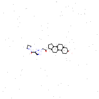 C[C@@]1(O)CC[C@@]2(C)[C@H](CC[C@@H]3[C@@H]2CC[C@]2(C)[C@@H](C(=O)Cn4ncc(C(=O)N5CCC5)n4)CC[C@@H]32)C1